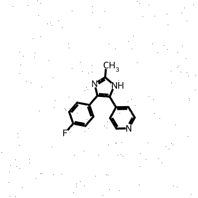 Cc1nc(-c2ccc(F)cc2)c(-c2ccncc2)[nH]1